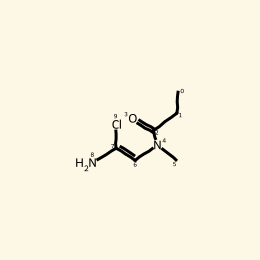 CCC(=O)N(C)/C=C(/N)Cl